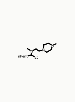 CCCCCC(CC)N(C)CCN1CCN(C)CC1